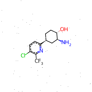 N[C@H]1C[C@@H](c2ccc(Cl)c(C(F)(F)F)n2)CC[C@@H]1O